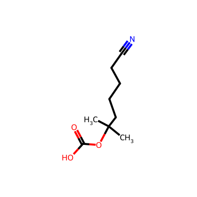 CC(C)(CCCCC#N)OC(=O)O